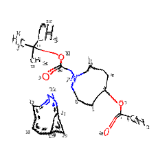 CC(=O)OC1CCN(C(=O)OC(C)(C)C)CC1.c1cc2cc-2n1